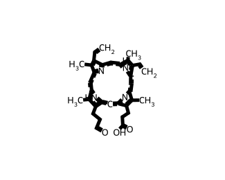 C=CC1=C(C)c2cc3[nH]c(cc4nc(cc5[nH]c(cc1n2)c(C)c5C=C)C(C)=C4CCC(=O)O)c(CCC=O)c3C